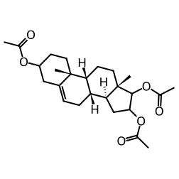 CC(=O)OC1CC[C@@]2(C)C(=CC[C@@H]3[C@H]2CC[C@]2(C)C(OC(C)=O)C(OC(C)=O)C[C@@H]32)C1